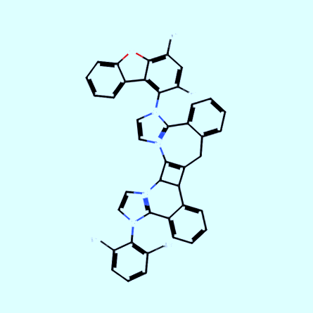 CC(C)c1cccc(C(C)C)c1-n1cc[n+]2c1-c1ccccc1C1C3=C(C12)[n+]1ccn(-c2c(C(C)C)cc(C(C)C)c4oc5ccccc5c24)c1-c1ccccc1C3